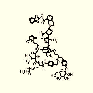 Cc1c(-c2ccc(N3CCc4cccc(C(=O)Nc5nc6ccccc6s5)c4C3)nc2C(=O)O)cnn1CC12CC3(C)CC(C)(C1)CC(OCCN(Cc1ccc(O[C@H]4O[C@H](CO)[C@@H](O)[C@@H](O)[C@H]4O)cc1)C(=O)OCc1ccc(NC(=O)[C@H](CCCNC(N)=O)NC(=O)[C@@H](NC(=O)CCCCCN4C(=O)C=CC4=O)C(C)C)cc1)(C3)C2